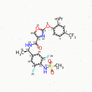 CCCc1cc(C(F)(F)F)ccc1Oc1nc(C(=O)N[C@H](C)c2cc(F)c(NS(C)(=O)=O)c(F)c2)co1